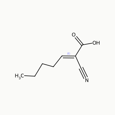 CCCC/C=C(\C#N)C(=O)O